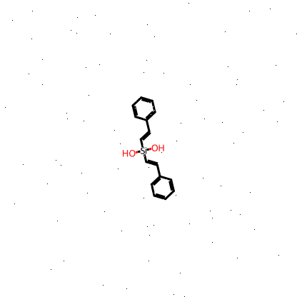 O[Si](O)(C=Cc1ccccc1)C=Cc1ccccc1